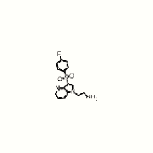 NCCn1cc(S(=O)(=O)c2ccc(F)cc2)c2ncccc21